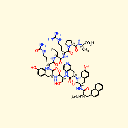 CC(=O)N[C@H](Cc1ccc2ccccc2c1)C(=O)N[C@H](Cc1ccc(O)cc1)C(O)N[C@H](Cc1cccnc1)C(=O)N[C@@H](CO)C(=O)N[C@@H](Cc1ccc(O)cc1)C(=O)N[C@H](CCCNC(N)=O)C(=O)N[C@@H](CC(C)C)C(=O)N[C@@H](CCCNC(=N)N)C(=O)N1CCC[C@H]1C(=O)N[C@H](C)C(=O)O